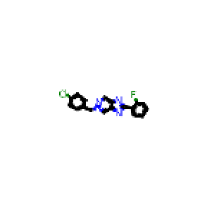 Fc1ccccc1-c1nc2cnn(Cc3ccc(Cl)cc3)cc-2n1